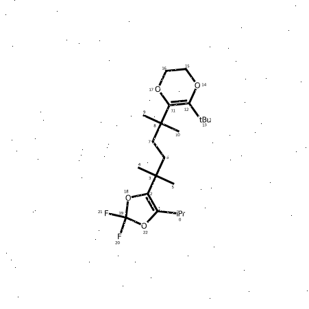 CC(C)C1=C(C(C)(C)CCC(C)(C)C2=C(C(C)(C)C)OCCO2)OC(F)(F)O1